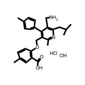 Cc1ccc(-c2c(COc3ccc(C)cc3C(=O)O)c(C)nc(CC(C)C)c2CN)cc1.Cl.Cl